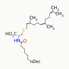 CCCCCCCCCCCCCCCC(=O)N[C@@H](CSCC=C(C)CCC=C(C)CCC=C(C)C)C(=O)O